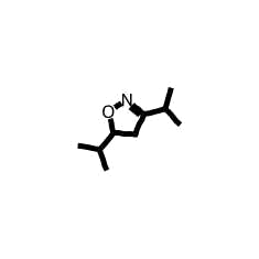 CC(C)C1=NOC(C(C)C)C1